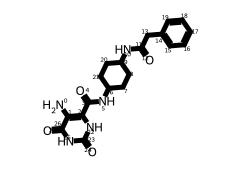 Nc1c(C(=O)NC2CCC(NC(=O)Cc3ccccc3)CC2)[nH]c(=O)[nH]c1=O